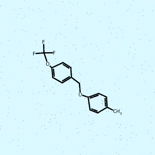 Cc1ccc(OCc2ccc(OC(F)(F)F)cc2)cc1